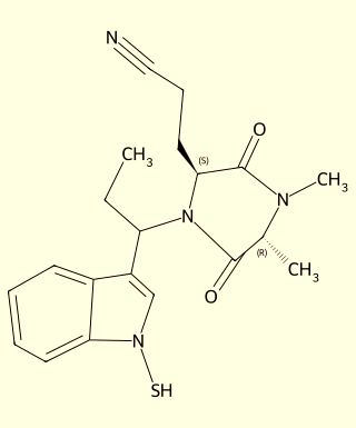 CCC(c1cn(S)c2ccccc12)N1C(=O)[C@@H](C)N(C)C(=O)[C@@H]1CCC#N